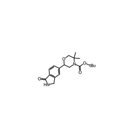 CC(C)(C)OC(=O)N1CC(c2ccc3c(c2)CNC3=O)OCC1(C)C